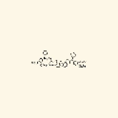 COc1ccc(N(c2ccccc2)c2ccc3c(ccc4c5ccc6c7ccc8cc(N(c9ccccc9)c9ccc(OC)c(OC)c9)ccc8c7oc6c5oc34)c2)cc1OC